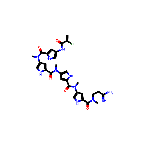 C=C(Cl)C(=O)Nc1c[nH]c(C(=O)N(C)c2c[nH]c(C(=O)N(C)c3c[nH]c(C(=O)N(C)c4c[nH]c(C(=O)N(C)CCC(=N)N)c4)c3)c2)c1